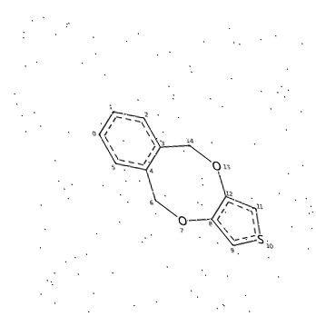 c1ccc2c(c1)COc1cscc1OC2